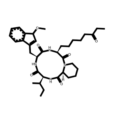 CCC(=O)CCCCC[C@@H]1NC(=O)[C@H](CC2=CC(OC)c3ccccc32)NC(=O)[C@H](C(C)CC)NC(=O)[C@@H]2CCCCN2C1=O